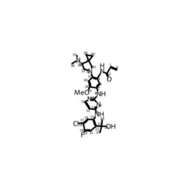 C=CC(=O)Nc1cc(Nc2nccc(Nc3cc(Cl)c(F)cc3C(C)(C)O)n2)c(OC)cc1N1C[C@H](N(C)C)C2(CC2)C1